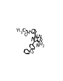 C=CC(=O)N1CC2CC1C(n1nc(-c3ccc(Oc4ccccc4)cc3)c3c(N)ncnc31)C2